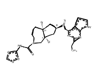 Cc1nc(N[C@@H]2C[C@@H]3CCN(C(=O)Nc4nncs4)C[C@@H]3C2)c2cc[nH]c2n1